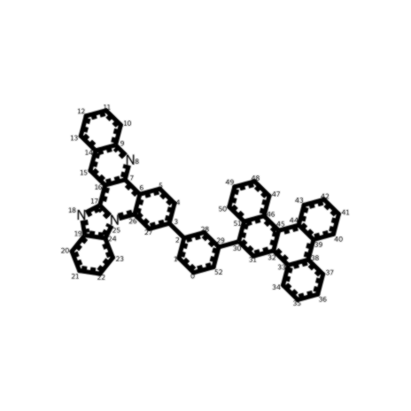 c1cc(-c2ccc3c4nc5ccccc5cc4c4nc5ccccc5n4c3c2)cc(-c2cc3c4ccccc4c4ccccc4c3c3ccccc23)c1